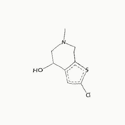 CN1Cc2sc(Cl)cc2C(O)C1